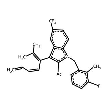 C=C/C=C\C(=C(C)C)c1c(C(C)=O)n(Cc2cccc(F)c2C)c2ccc(C(F)(F)F)cc12